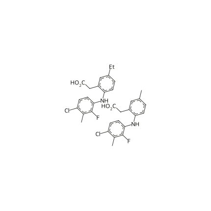 CCc1ccc(Nc2ccc(Cl)c(C)c2F)c(CC(=O)O)c1.Cc1ccc(Nc2ccc(Cl)c(C)c2F)c(CC(=O)O)c1